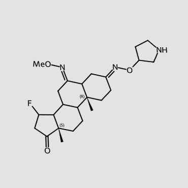 CON=C1CC2C(CC[C@]3(C)C(=O)CC(F)C23)[C@@]2(C)CCC(=NOC3CCNC3)CC12